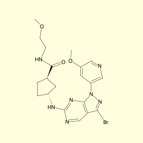 COCCNC(=O)[C@@H]1CC[C@@H](Nc2ncc3c(Br)nn(-c4cncc(OC)c4)c3n2)C1